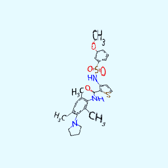 COc1cccc(S(=O)(=O)Nc2ccsc2C(=O)Nc2c(C)cc(C)c(N3CCCC3)c2C)c1